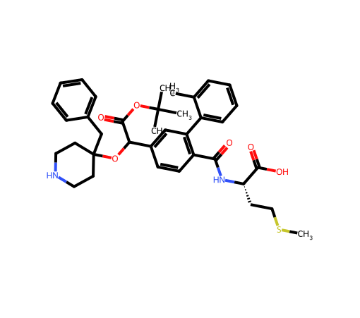 CSCC[C@H](NC(=O)c1ccc(C(OC2(Cc3ccccc3)CCNCC2)C(=O)OC(C)(C)C)cc1-c1ccccc1C)C(=O)O